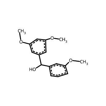 COc1cccc(C(O)c2cc(OC)cc(OC)c2)c1